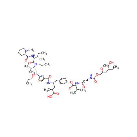 CCCO[C@H](C[C@H](C(C)C)N(CCC)C(=O)[C@@H](NC(=O)[C@H]1CCCCN1C)[C@@H](C)CC)c1nc(C(=O)N[C@@H](Cc2ccc(OC(=O)[C@H](NC(=O)CCNC(=O)OCC(CC(CC)CO)OC)C(C)C)cc2)C[C@H](C)C(=O)O)cs1